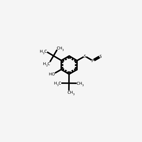 CC(C)(C)c1cc(SP=S)cc(C(C)(C)C)c1O